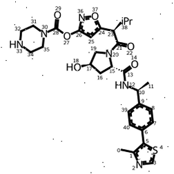 Cc1ncsc1-c1ccc([C@H](C)NC(=O)[C@@H]2C[C@@H](O)CN2C(=O)[C@@H](c2cc(OC(=O)N3CCNCC3)no2)C(C)C)cc1